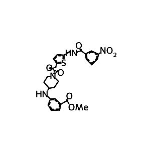 COC(=O)c1cccc(NC2CCN(S(=O)(=O)c3ccc(CNC(=O)c4cccc([N+](=O)[O-])c4)s3)CC2)c1